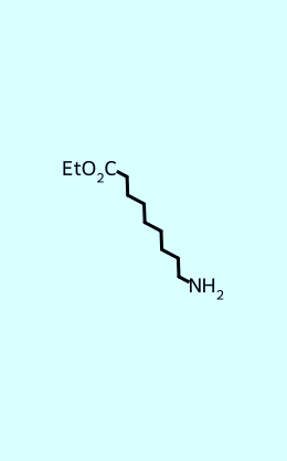 CCOC(=O)CCCCCCCCN